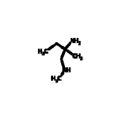 CCC(C)(N)CNC